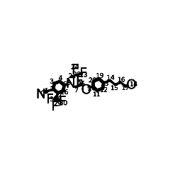 N#Cc1ccc(N(CCOc2ccc(CCCC=O)cc2)CC(F)(F)F)cc1C(F)(F)F